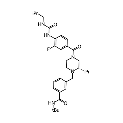 CC(C)CNC(=O)Nc1ccc(C(=O)N2CCN(Cc3cccc(C(=O)NC(C)(C)C)c3)[C@@H](C(C)C)C2)cc1F